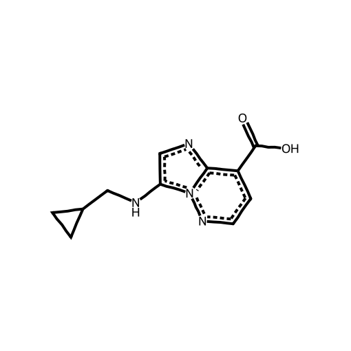 O=C(O)c1ccnn2c(NCC3CC3)cnc12